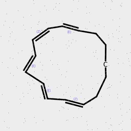 [C]1=C/C=C\C=C\C=C\C=C/CCCCC/1